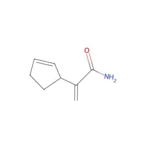 C=C(C(N)=O)C1C=CCC1